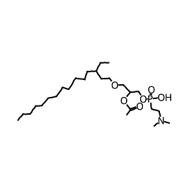 CCCCCCCCCCCCC(CC)CCOCC(COP(=O)(O)CCN(C)C)OC(C)=O